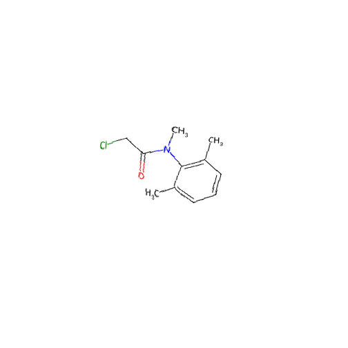 Cc1cccc(C)c1N(C)C(=O)CCl